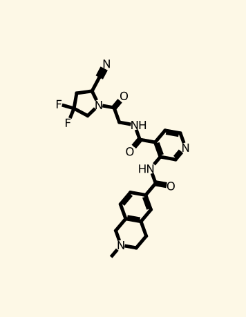 CN1CCc2cc(C(=O)Nc3cnccc3C(=O)NCC(=O)N3CC(F)(F)CC3C#N)ccc2C1